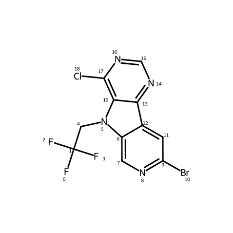 FC(F)(F)Cn1c2cnc(Br)cc2c2ncnc(Cl)c21